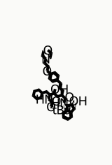 CC(C)(C)OC(=O)NC(CC1CCCCC1)C(O)CC(CC=Cc1ccc(OCCN2CCOCC2)cc1)C(=O)N[C@H]1c2ccccc2C[C@@H]1O